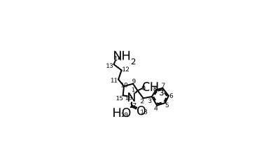 CC1(Cc2ccccc2)CC(CCCN)CN1C(=O)O